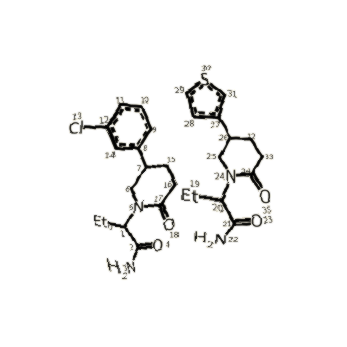 CCC(C(N)=O)N1CC(c2cccc(Cl)c2)CCC1=O.CCC(C(N)=O)N1CC(c2ccsc2)CCC1=O